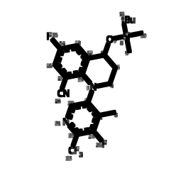 Cc1c(N2CCC(O[Si](C)(C)C(C)(C)C)c3cc(F)cc(C#N)c32)cnc(C(F)(F)F)c1F